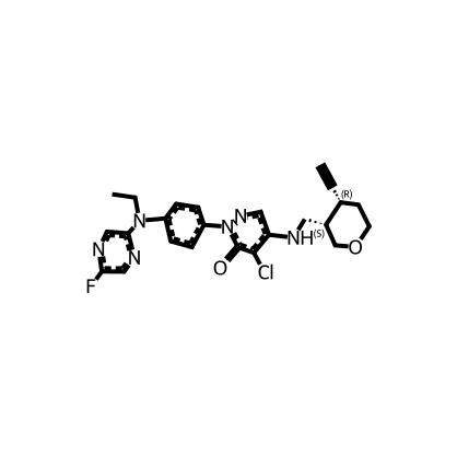 C#C[C@@H]1CCOC[C@@H]1CNc1cnn(-c2ccc(N(CC)c3cnc(F)cn3)cc2)c(=O)c1Cl